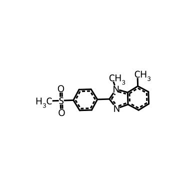 Cc1cccc2nc(-c3ccc(S(C)(=O)=O)cc3)n(C)c12